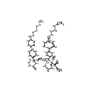 CCCCCCOc1ccc(-c2ccc(C3(C#N)CCCC(Cl)C3)cc2)cc1.CCCCCOc1ccc(-c2ccc(C3C(Cl)CCCC3(C#N)C(=O)O)cc2)cc1